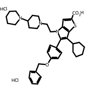 Cl.Cl.O=C(O)c1cc2c(s1)c(C1CCCCC1)c(-c1ccc(OCc3ccccc3)cc1)n2CCN1CCC(N2CCCCC2)CC1